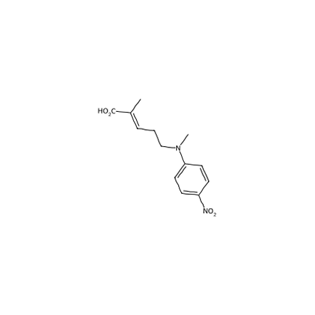 CC(=CCCN(C)c1ccc([N+](=O)[O-])cc1)C(=O)O